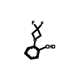 O=Cc1ccccc1N1CC(F)(F)C1